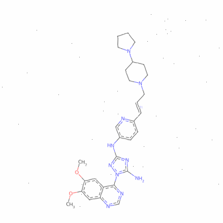 COc1cc2ncnc(-n3nc(Nc4ccc(/C=C/CN5CCC(N6CCCC6)CC5)nc4)nc3N)c2cc1OC